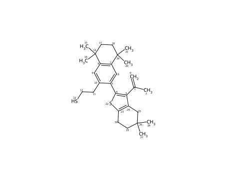 C=C(C)c1c(-c2cc3c(cc2CCS)C(C)(C)CCC3(C)C)sc2c1CC(C)(C)CC2